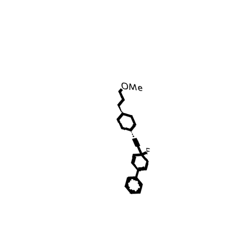 COCCC[C@H]1CC[C@H](C#CC2(F)C=CC(c3ccccc3)=CC2)CC1